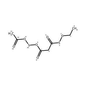 CCOSC(=O)CC(=O)OSOC(C)=O